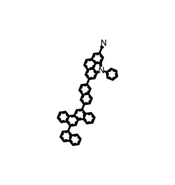 N#Cc1cc2ccc3cc(-c4ccc5cc(-c6cc7c8ccccc8c(-c8cccc9ccccc89)cc7c7ccccc67)ccc5c4)cc4c3c2c(c1)n4-c1ccccc1